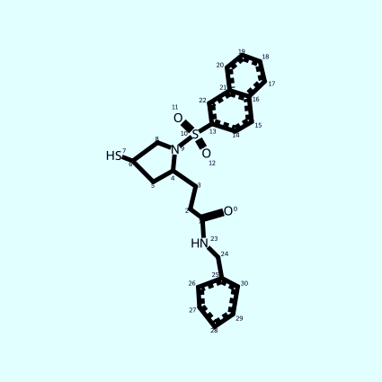 O=C(CCC1CC(S)CN1S(=O)(=O)c1ccc2ccccc2c1)NCc1ccccc1